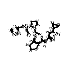 O=C(Nc1nnco1)[C@@H]1CCCN1c1nc2c(c(Nc3cc(C4CC4)[nH]n3)n1)CCC2